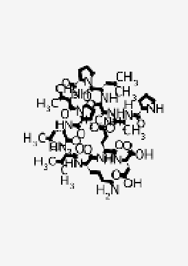 CC(C)C[C@H](NC(=O)[C@@H]1CCCN1C(=O)[C@@H](NC(=O)[C@@H]1CCCN1C(=O)[C@H](CC(C)C)NC(=O)[C@H](C)NC(=O)[C@H](C)NC(=O)[C@@H]1CCCN1)C(C)C)C(=O)N[C@H](C(=O)N[C@@H](CCCCN)C(=O)N[C@@H](CCC(N)=O)C(=O)N[C@@H](CC(=O)O)C(=O)O)C(C)C